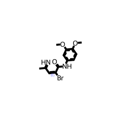 COc1ccc(NC(=O)/C(Br)=C\C(C)=N)cc1OC